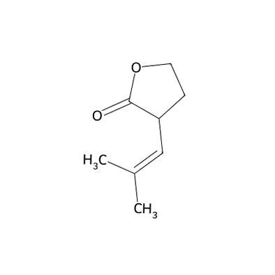 CC(C)=CC1CCOC1=O